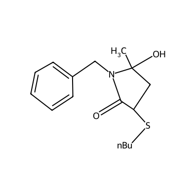 CCCCSC1CC(C)(O)N(Cc2ccccc2)C1=O